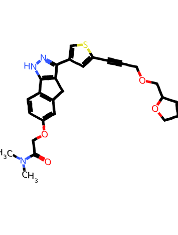 CN(C)C(=O)COc1ccc2c(c1)Cc1c(-c3csc(C#CCOCC4CCCO4)c3)n[nH]c1-2